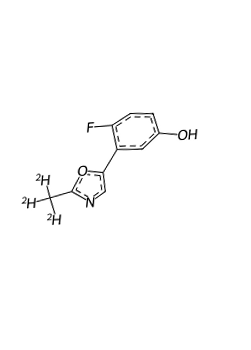 [2H]C([2H])([2H])c1ncc(-c2cc(O)ccc2F)o1